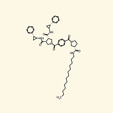 CCCCCCCCCCCCCCNC(=O)[C@H]1CCN(C(=O)c2ccc(C(=O)N3C[C@@H](C(=O)N[C@H]4C[C@@H]4c4ccccc4)[C@H](C(=O)N[C@H]4C[C@@H]4c4ccccc4)C3)cc2)C1